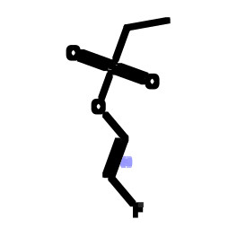 CCS(=O)(=O)O/C=C/F